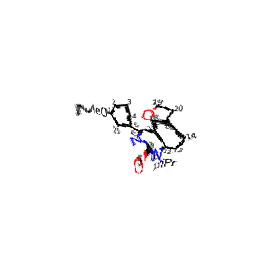 COc1cccc(-c2nc(=O)n(C(C)C)c3ccc4c(c23)OCC4)c1